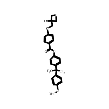 CCC1(COc2ccc(C(=O)Oc3ccc(C(c4ccc(OC=O)cc4)(C(F)(F)F)C(F)(F)F)cc3)cc2)COC1